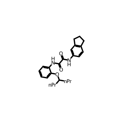 CCCC(CCC)Oc1ccccc1NC(=O)C(=O)Nc1ccc2c(c1)CCC2